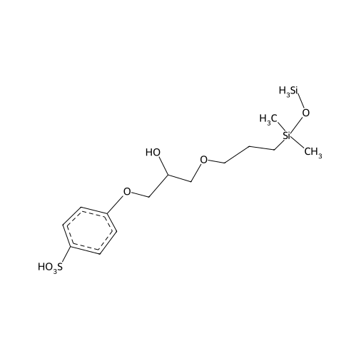 C[Si](C)(CCCOCC(O)COc1ccc(S(=O)(=O)O)cc1)O[SiH3]